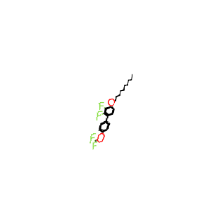 CCCCCCCCCCOc1ccc(-c2ccc(OC(F)F)cc2)c(F)c1F